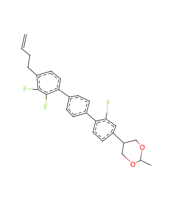 C=CCCc1ccc(-c2ccc(-c3ccc(C4COC(C)OC4)cc3F)cc2)c(F)c1F